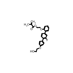 C=C(C)C(=O)OCCOc1ccccc1-c1ccc(-c2ccc(OCCO)cc2)c(F)c1